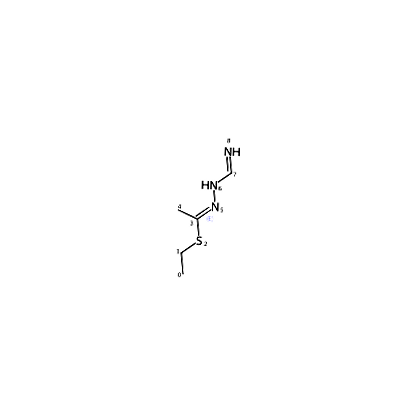 CCS/C(C)=N/NC=N